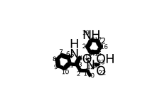 CC(Cc1c[nH]c2ccccc12)N(Oc1cccc(N)c1)C(=O)O